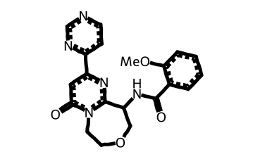 COc1ccccc1C(=O)NC1COCCn2c1nc(-c1ccncn1)cc2=O